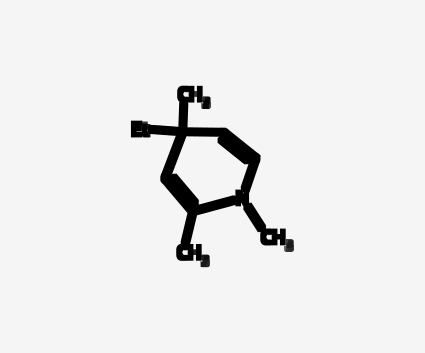 CCC1(C)C=CN(C)C(C)=C1